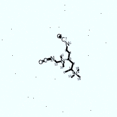 CC(CC(CCN=C=O)[N+](C)(C)CN=C=O)[N+](C)(C)C